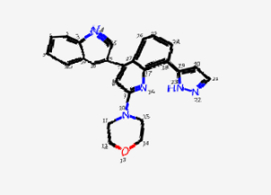 c1ccc2ncc(-c3cc(N4CCOCC4)nc4c(-c5ccn[nH]5)cccc34)cc2c1